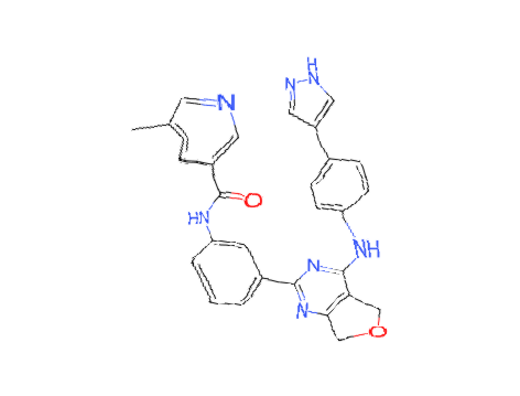 Cc1cncc(C(=O)Nc2cccc(-c3nc4c(c(Nc5ccc(-c6cn[nH]c6)cc5)n3)COC4)c2)c1